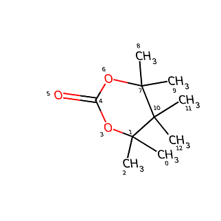 CC1(C)OC(=O)OC(C)(C)C1(C)C